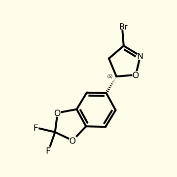 FC1(F)Oc2ccc([C@@H]3CC(Br)=NO3)cc2O1